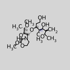 C=C(C(C)=O)/C(O)=C(\C)[C@H](CCO)OC[C@H]1[C@@H]([C@H](C)OC)O[C@@H]2[C@@H](OC)OCCN21